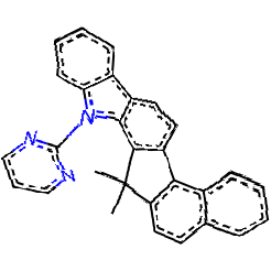 CC1(C)c2ccc3ccccc3c2-c2ccc3c4ccccc4n(-c4ncccn4)c3c21